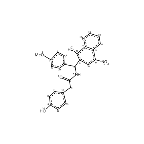 COc1ccc(C(NC(=O)Cc2ccc(O)cc2)c2cc([N+](=O)[O-])c3cccnc3c2O)cc1